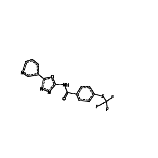 O=C(Nc1nnc(-c2cccnc2)o1)c1ccc(SC(F)(F)F)cc1